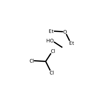 CCOCC.CO.ClC(Cl)Cl